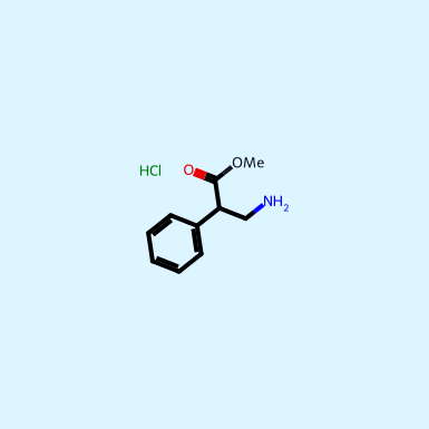 COC(=O)C(CN)c1ccccc1.Cl